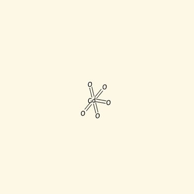 [O]=[Gd](=[O])(=[O])(=[O])=[O]